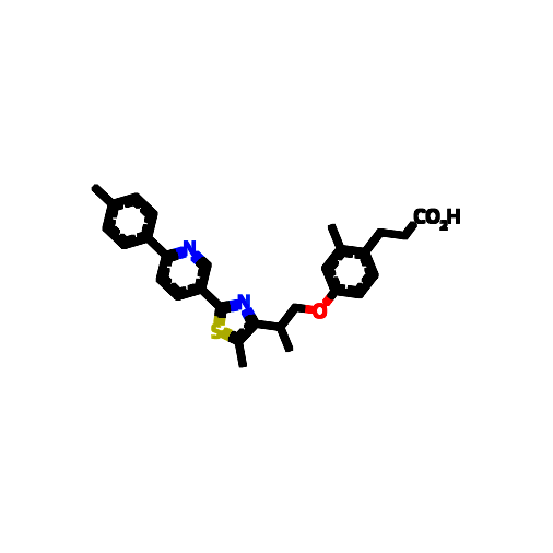 Cc1ccc(-c2ccc(-c3nc(C(C)COc4ccc(CCC(=O)O)c(C)c4)c(C)s3)cn2)cc1